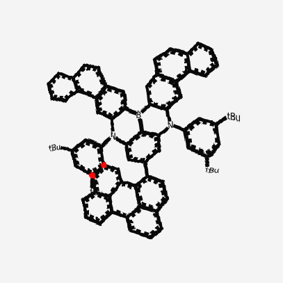 CC(C)(C)c1cc(N2c3cc4c(ccc5ccccc54)cc3B3c4cc5ccc6ccccc6c5cc4N(c4cc(C(C)(C)C)cc(C(C)(C)C)c4)c4cc(-c5ccc6cccc7c8cccc9cccc(c5c67)c98)cc2c43)cc(C(C)(C)C)c1